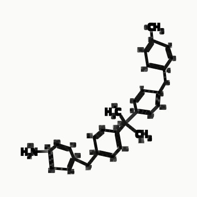 Cc1ccc(Cc2ccc(C(C)(C)c3ccc(Cc4ccc(N)cc4)cc3)cc2)cc1